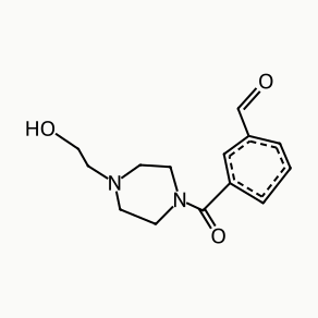 O=Cc1cccc(C(=O)N2CCN(CCO)CC2)c1